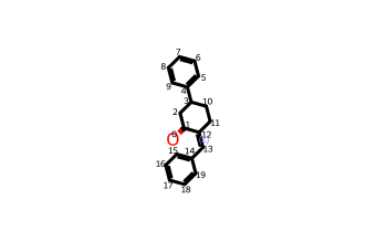 O=C1CC(c2ccccc2)CC/C1=C/c1ccccc1